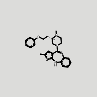 Cc1cc2c(s1)Nc1ccccc1N=C2N1CCN(C)[C@@H](CCOc2ccccc2)C1